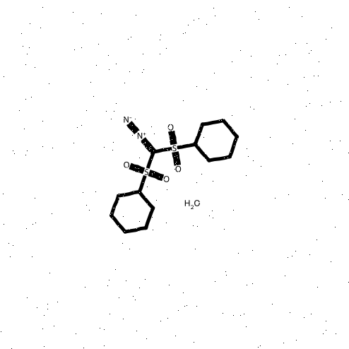 O.[N-]=[N+]=C(S(=O)(=O)C1CCCCC1)S(=O)(=O)C1CCCCC1